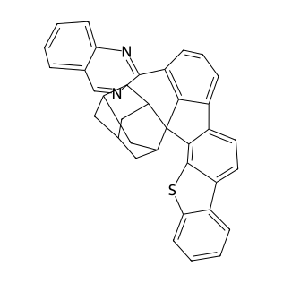 c1cc(-c2ncc3ccccc3n2)c2c(c1)-c1ccc3c(sc4ccccc43)c1C21C2CC3CC(C2)CC1C3